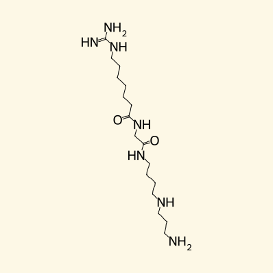 N=C(N)NCCCCCCC(=O)NCC(=O)NCCCCNCCCN